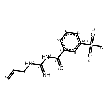 C=CCNC(=N)NC(=O)c1cccc(S(C)(=O)=O)c1